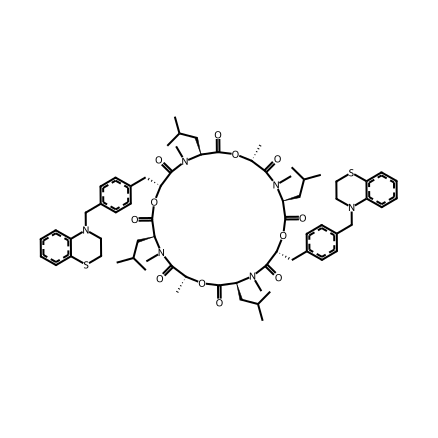 CC(C)C[C@H]1C(=O)O[C@H](Cc2ccc(CN3CCSc4ccccc43)cc2)C(=O)N(C)[C@@H](CC(C)C)C(=O)O[C@H](C)C(=O)N(C)[C@@H](CC(C)C)C(=O)O[C@H](Cc2ccc(CN3CCSc4ccccc43)cc2)C(=O)N(C)[C@@H](CC(C)C)C(=O)O[C@H](C)C(=O)N1C